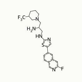 NC(CNc1ncc(-c2ccc3cnc(F)cc3c2)s1)CN1CCCC(C(F)(F)F)C1